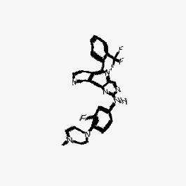 CN1CCN(c2ccc(Nc3ncc4nc(-c5ccccc5C(F)(F)F)c5ccncc5c4n3)cc2F)CC1